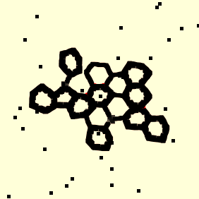 c1ccc(-n2c3ccccc3c3cc(-c4ccccc4N(c4ccc5ccccc5c4)c4ccccc4-c4cccc5cccc(C6CCCCC6)c45)ccc32)cc1